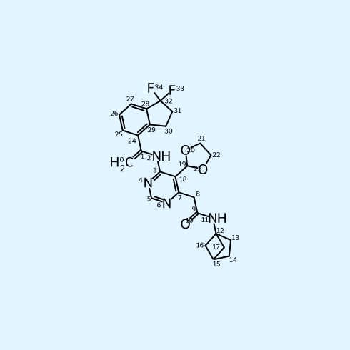 C=C(Nc1ncnc(CC(=O)NC23CCC(C2)C3)c1C1OCCO1)c1cccc2c1CCC2(F)F